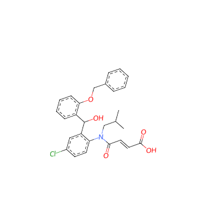 CC(C)CN(C(=O)C=CC(=O)O)c1ccc(Cl)cc1C(O)c1ccccc1OCc1ccccc1